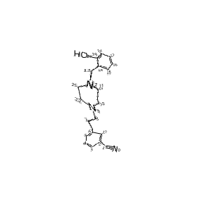 N#Cc1cccc(CCN2CCN(Cc3ccccc3O)CC2)c1